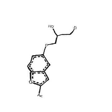 CC(=O)c1cc2cc(OCC(O)CCl)ccc2o1